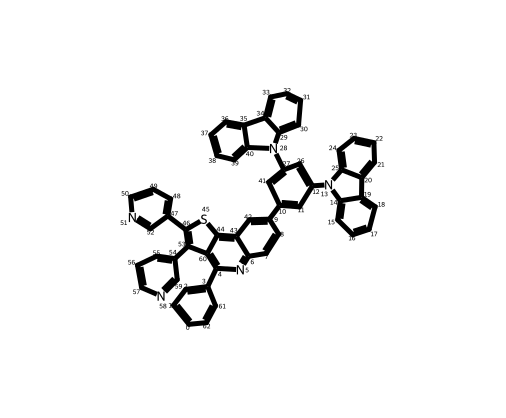 c1ccc(-c2nc3ccc(-c4cc(-n5c6ccccc6c6ccccc65)cc(-n5c6ccccc6c6ccccc65)c4)cc3c3sc(-c4cccnc4)c(-c4cccnc4)c23)cc1